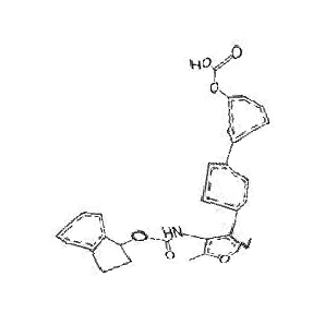 Cc1onc(-c2ccc(-c3cccc(OC(=O)O)c3)cc2)c1NC(=O)OC1CCc2ccccc21